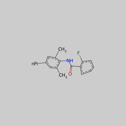 CCCc1cc(C)c(NC(=O)c2ccccc2F)c(C)c1